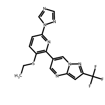 CCSc1ccc(-n2cncn2)nc1-c1cnc2cc(C(F)(F)F)nn2c1